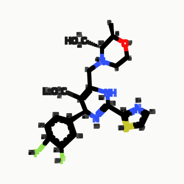 CCOC(=O)C1=C(CN2CCO[C@H](C)[C@H]2C(=O)O)NC(c2nccs2)=N[C@H]1c1ccc(F)c(F)c1